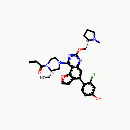 C=CC(=O)N1CCN(c2nc(OC[C@@H]3CCCN3C)nc3cc(-c4ccc(O)cc4Cl)c4ccoc4c23)C[C@@H]1CC#N